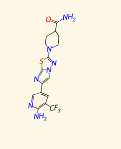 NC(=O)C1CCN(c2nn3cc(-c4cnc(N)c(C(F)(F)F)c4)nc3s2)CC1